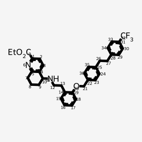 CCOC(=O)c1ccc2c(n1)CCCC2NCCc1ccccc1OCc1ccc(CCc2ccc(C(F)(F)F)cc2)cc1